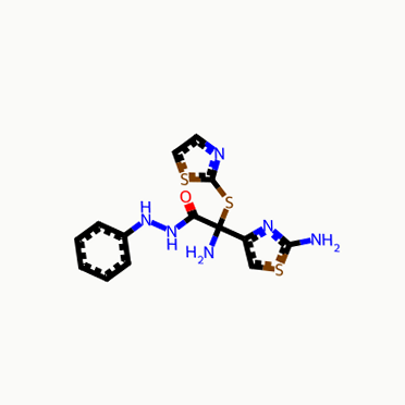 Nc1nc(C(N)(Sc2nccs2)C(=O)NNc2ccccc2)cs1